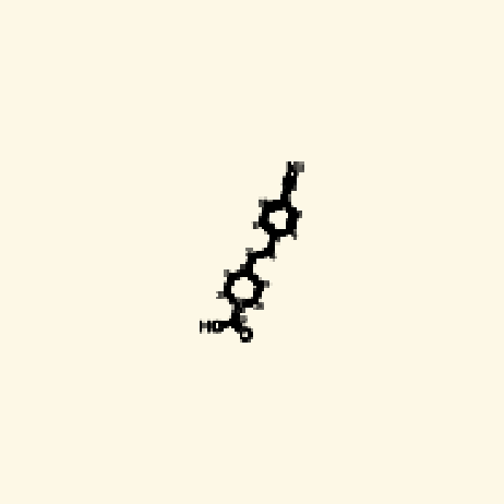 N#Cc1ccc(CCC2CCN(C(=O)O)CC2)cc1